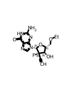 C#C[C@@]1(F)[C@H](O)[C@@H](COCC)O[C@H]1n1cnc2c(=O)[nH]c(N)nc21